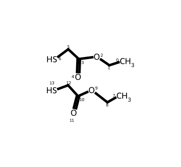 CCOC(=O)CS.CCOC(=O)CS